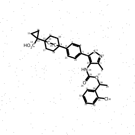 Cc1nsc(-c2ccc(C34CCC(C5(C(=O)O)CC5)(CC3)CC4)cc2)c1NC(=O)OC(C)c1ccccc1Cl